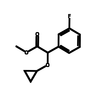 COC(=O)C(OC1CC1)c1cccc(F)c1